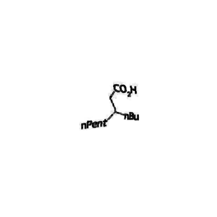 CCCCCC(CCCC)CC(=O)O